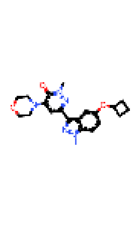 Cn1nc(-c2n[nH]c3ccc(OC4CCC4)cc23)cc(N2CCOCC2)c1=O